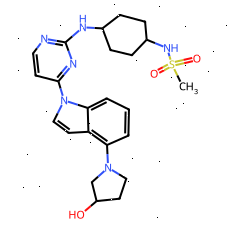 CS(=O)(=O)NC1CCC(Nc2nccc(-n3ccc4c(N5CCC(O)C5)cccc43)n2)CC1